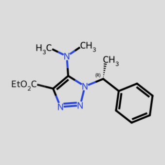 CCOC(=O)c1nnn([C@H](C)c2ccccc2)c1N(C)C